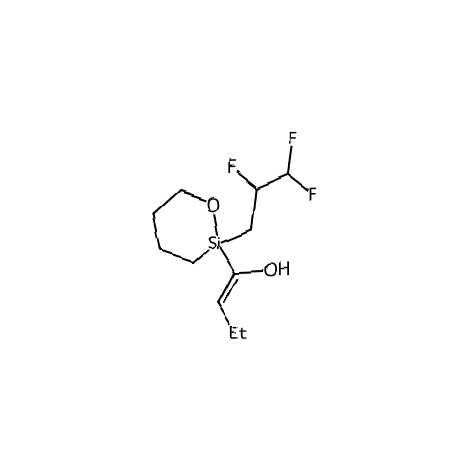 CCC=C(O)[Si]1(CC(F)C(F)F)CCCCO1